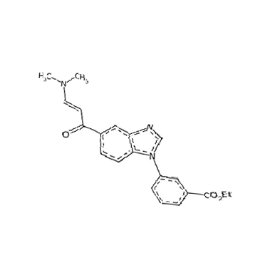 CCOC(=O)c1cccc(-n2cnc3cc(C(=O)/C=C/N(C)C)ccc32)c1